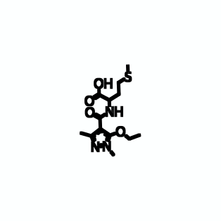 CCOc1c(C(=O)NC(CCSC)C(=O)O)c(C)nn1C